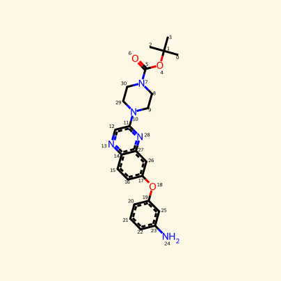 CC(C)(C)OC(=O)N1CCN(c2cnc3ccc(Oc4cccc(N)c4)cc3n2)CC1